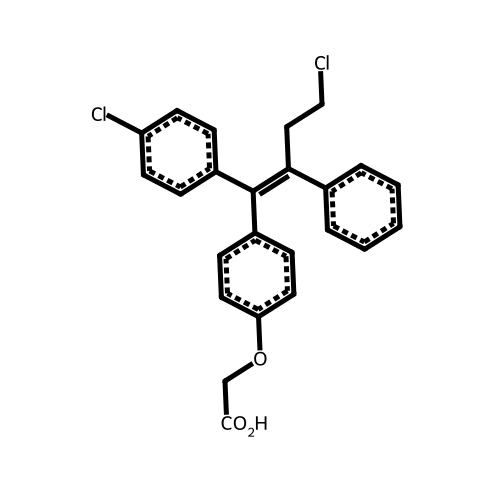 O=C(O)COc1ccc(C(=C(CCCl)c2ccccc2)c2ccc(Cl)cc2)cc1